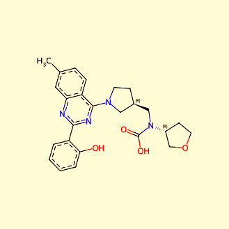 Cc1ccc2c(N3CC[C@@H](CN(C(=O)O)[C@@H]4CCOC4)C3)nc(-c3ccccc3O)nc2c1